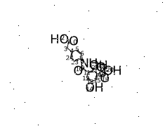 O=C(O)Cc1ccc(NC(=O)c2cc(O)cc(S(=O)(=O)O)c2O)cc1